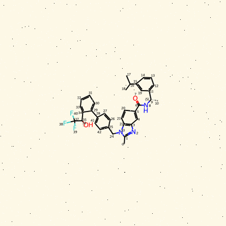 Cc1nc2cc(C(=O)N[C@@H](C)c3cccc(C(C)C)c3)ccc2n1Cc1ccc(-c2ccccc2C(O)C(F)(F)F)cc1